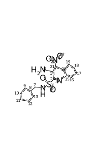 Nc1c(S(=O)(=O)NCc2ccccc2)nc2ccccc2c1[N+](=O)[O-]